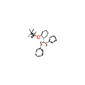 CC(C)(C)[Si](C)(C)OC1=CCCCC1C(Sc1ccccc1)Sc1ccccc1